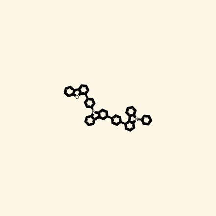 c1ccc(-n2c3ccccc3c3c(-c4ccc(-c5ccc6c(c5)c5ccccc5n6-c5ccc(-c6cccc7c6oc6ccccc67)cc5)cc4)cccc32)cc1